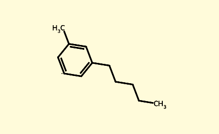 CCCCCc1c[c]cc(C)c1